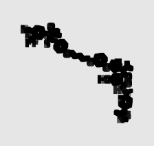 Cc1ncsc1-c1ccc([C@H](C)NC(=O)[C@@H]2C[C@@H](O)CN2C(=O)C(C(C)C)n2cc(Oc3cccc(OCCCCCOc4ccc(N5C(=S)N(c6ccc(C#N)c(C(F)(F)F)c6)C(=O)C5(C)C)cc4)c3)cn2)nc1